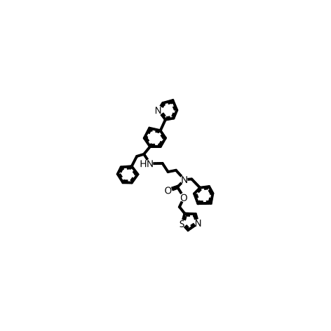 O=C(OCc1cncs1)N(CCCNC(Cc1ccccc1)c1ccc(-c2ccccn2)cc1)Cc1ccccc1